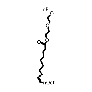 CCCCCCCC/C=C\CCCCCCCC(=O)OCCOCCOCCC